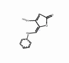 CCCCCCCC1=CC(=O)O/C1=C/Nc1ccccc1